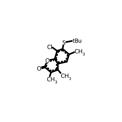 Cc1cc2c(C)c(C)c(=O)oc2c(Cl)c1SC(C)(C)C